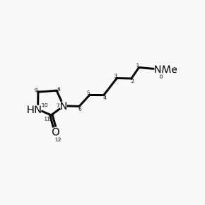 CNCCCCCCN1CCNC1=O